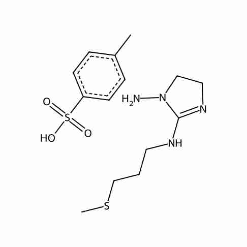 CSCCCNC1=NCCN1N.Cc1ccc(S(=O)(=O)O)cc1